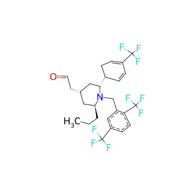 CCC[C@H]1C[C@H](CC=O)C[C@H](C2C=CC(C(F)(F)F)=CC2)N1Cc1cc(C(F)(F)F)ccc1C(F)(F)F